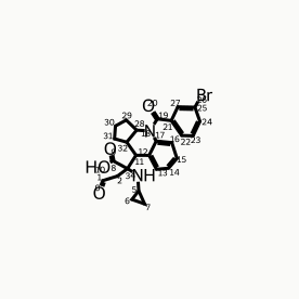 O=CCC(NC1CC1)(C(=O)O)C1c2ccccc2N(C(=O)c2cccc(Br)c2)C2CCCC21